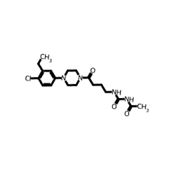 CCc1cc(N2CCN(C(=O)CCCNC(=O)NC(C)=O)CC2)ccc1Cl